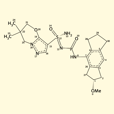 CO[C@H]1Cc2cc3c(c(NC(=O)N=[S@](N)(=O)c4cnn5c4OCC(C)(C)C5)c2C1)CCC3